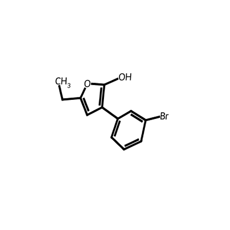 CCc1cc(-c2cccc(Br)c2)c(O)o1